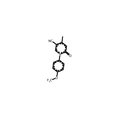 Cc1cc(=O)n(-c2ccc(OC(F)(F)F)cc2)cc1C#N